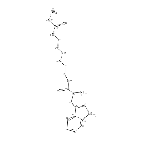 Cn1cc(CC(N)C(=O)OCCSSCCOC(=O)NN)c2ccccc21